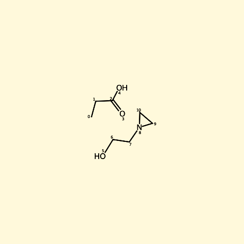 CCC(=O)O.OCCN1CC1